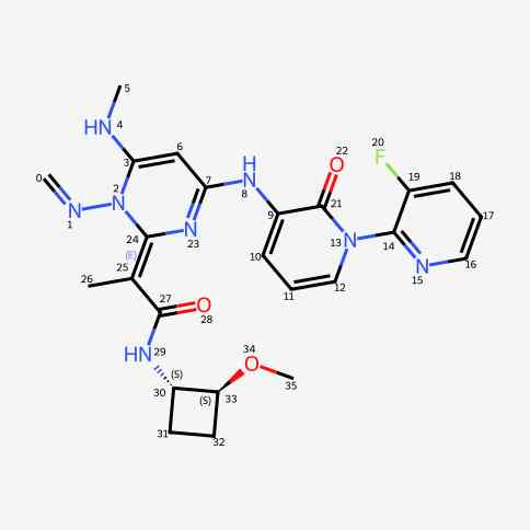 C=NN1C(NC)=CC(Nc2cccn(-c3ncccc3F)c2=O)=N/C1=C(/C)C(=O)N[C@H]1CC[C@@H]1OC